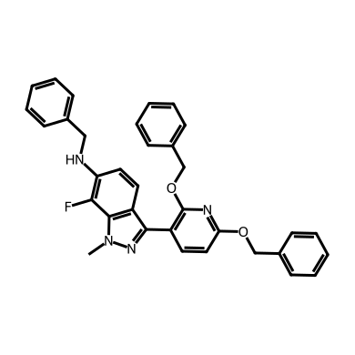 Cn1nc(-c2ccc(OCc3ccccc3)nc2OCc2ccccc2)c2ccc(NCc3ccccc3)c(F)c21